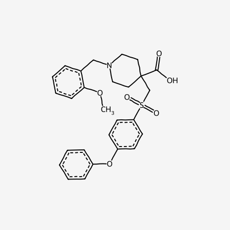 COc1ccccc1CN1CCC(CS(=O)(=O)c2ccc(Oc3ccccc3)cc2)(C(=O)O)CC1